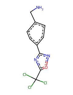 NCc1ccc(-c2noc(C(Cl)(Cl)Cl)n2)cc1